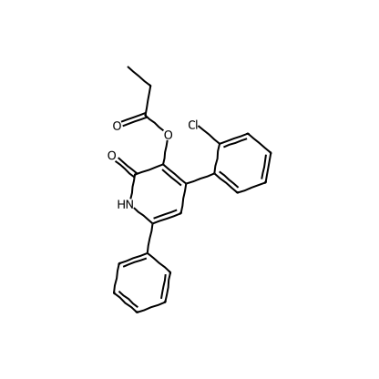 CCC(=O)Oc1c(-c2ccccc2Cl)cc(-c2ccccc2)[nH]c1=O